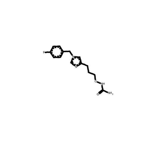 NC(=O)NOCCCc1cn(Cc2ccc(F)cc2)cn1